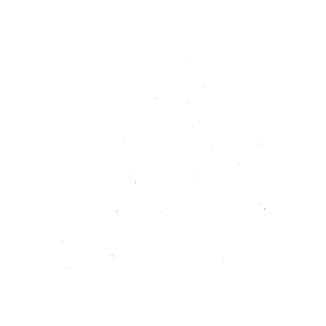 C=CC#N.C=CC=CC(C=Cc1ccccc1)=C(C(=O)OC)C(C=CC=C)C=Cc1ccccc1